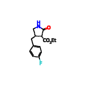 CCOC(=O)C1C(=O)NCC1Cc1ccc(F)cc1